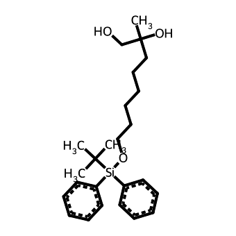 CC(O)(CO)CCCCCCO[Si](c1ccccc1)(c1ccccc1)C(C)(C)C